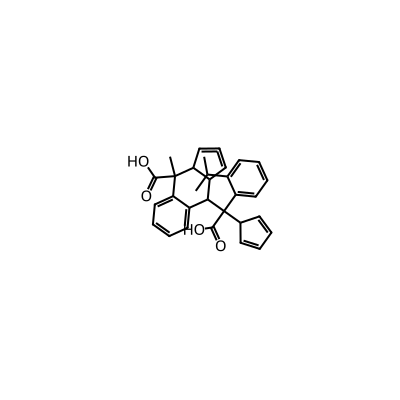 CC(C)c1ccccc1C(C(=O)O)(C1C=CC=C1)C1c2ccccc2C(C)(C(=O)O)C2C=C=CC21